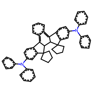 c1ccc(N(c2ccccc2)c2ccc3c(c2)C2(CCCC2)C2C3=c3ccccc3=C3c4ccc(N(c5ccccc5)c5ccccc5)cc4C4(CCCC4)C32)cc1